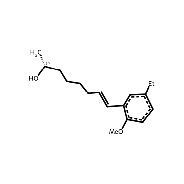 CCc1ccc(OC)c(/C=C/CCCC[C@@H](C)O)c1